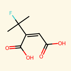 CC(C)(F)C(=CC(=O)O)C(=O)O